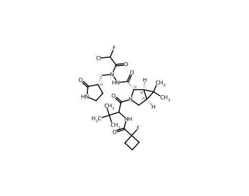 CC(C)(C)C(NC(=O)C1(F)CCC1)C(=O)N1C[C@H]2[C@@H]([C@H]1C(=O)NN(C[C@@H]1CCNC1=O)C(=O)C(F)Cl)C2(C)C